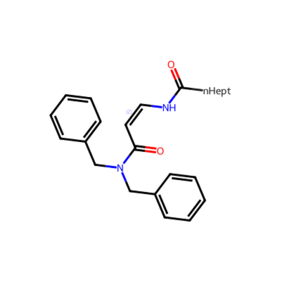 CCCCCCCC(=O)N/C=C\C(=O)N(Cc1ccccc1)Cc1ccccc1